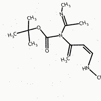 C=C(/C=C\NC)N(C(=O)OC(C)(C)C)/C(C)=N/C